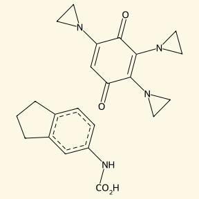 O=C(O)Nc1ccc2c(c1)CCC2.O=C1C=C(N2CC2)C(=O)C(N2CC2)=C1N1CC1